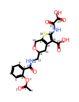 CC(=O)Oc1ccccc1C(=O)NCC1Cc2c(sc(NC(=O)C(=O)O)c2C(=O)O)CO1